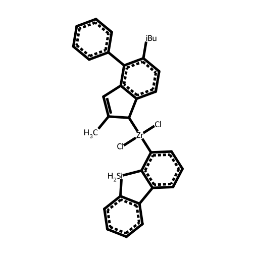 CCC(C)c1ccc2c(c1-c1ccccc1)C=C(C)[CH]2[Zr]([Cl])([Cl])[c]1cccc2c1[SiH2]c1ccccc1-2